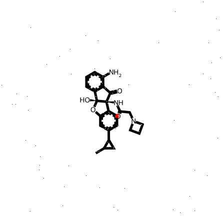 CC1CC1c1ccc2c(c1)O[C@]1(O)c3cccc(N)c3C(=O)[C@]21NC(=O)CN1CCC1